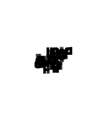 Oc1cc(Cl)ccc1-c1nnc(NC23CCC(C2)OC3)c2cnccc12